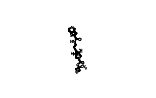 CC1(OC(=O)N2C[C@@H]3C(CCNC(=O)c4cc5cnccc5s4)[C@@H]3C2)COC1